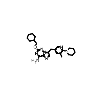 Cc1cc(Cc2cnc3c(N)nc(OCC4CCCCC4)nn23)cnc1N1CCCCC1